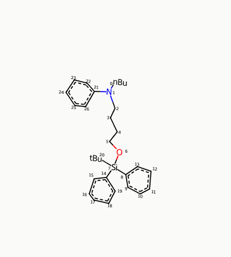 CCCCN(CCCCO[Si](c1ccccc1)(c1ccccc1)C(C)(C)C)c1ccccc1